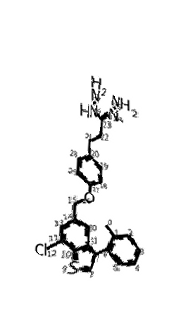 Cc1ccccc1-c1csc2c(Cl)cc(COc3ccc(CC/C(=N/N)NN)cc3)cc12